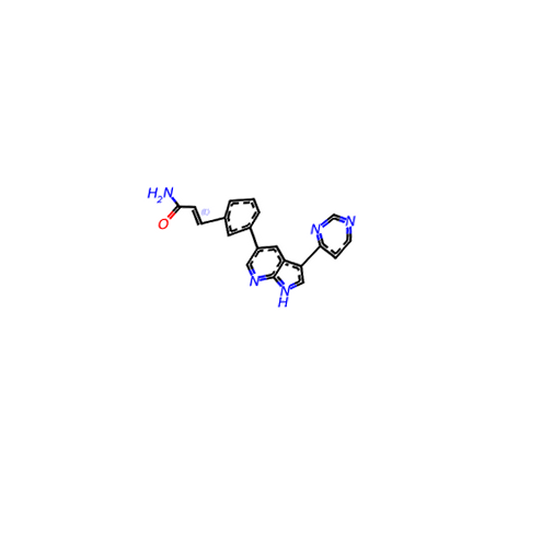 NC(=O)/C=C/c1cccc(-c2cnc3[nH]cc(-c4ccncn4)c3c2)c1